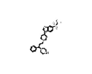 CCS(=O)(=O)c1ccc2c(c1)ncn2C1CCN(CCC(c2ccccc2)N2CCNCC2)CC1